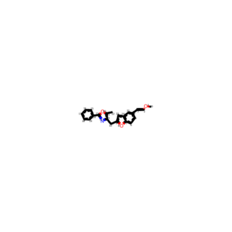 CO/C=C/c1ccc2oc(Cc3nc(-c4ccccc4)oc3C)cc2c1